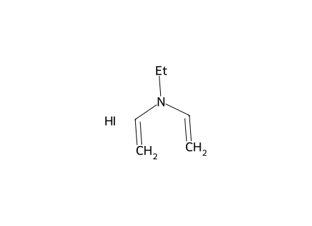 C=CN(C=C)CC.I